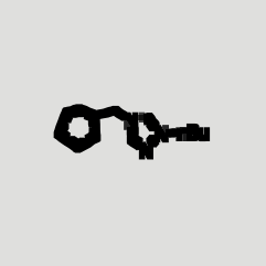 CCCCn1c[n+](Cc2ccccc2)cn1